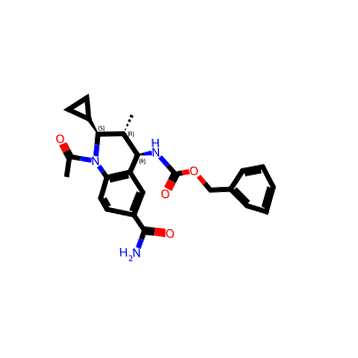 CC(=O)N1c2ccc(C(N)=O)cc2[C@H](NC(=O)OCc2ccccc2)[C@@H](C)[C@@H]1C1CC1